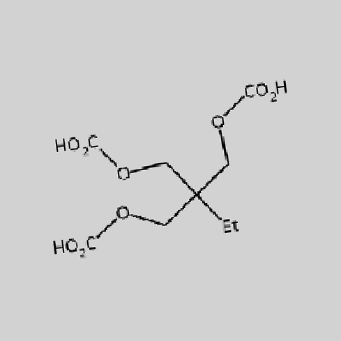 CCC(COC(=O)O)(COC(=O)O)COC(=O)O